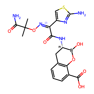 CC(C)(O/N=C(\C(=O)N[C@H]1Cc2cccc(C(=O)O)c2OB1O)c1csc(N)n1)C(N)=O